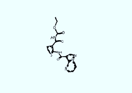 CCOC(=O)NC(=O)c1ccsc1NC(=O)c1cnn2cccnc12